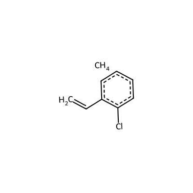 C.C=Cc1ccccc1Cl